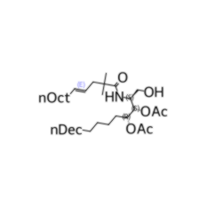 CCCCCCCC/C=C/CC(C)(C)C(=O)N[C@@H](CO)[C@H](OC(C)=O)[C@@H](CCCCCCCCCCCCCC)OC(C)=O